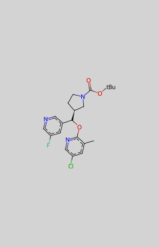 Cc1cc(Cl)cnc1OC(c1cncc(F)c1)[C@H]1CCN(C(=O)OC(C)(C)C)C1